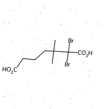 CC(C)(CCCC(=O)O)C(Br)(Br)C(=O)O